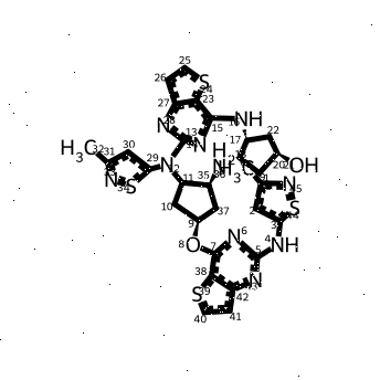 Cc1cc(Nc2nc(O[C@H]3CC(N(c4nc(N[C@H]5CC[C@H](O)C5)c5sccc5n4)c4cc(C)ns4)[C@@H](N)C3)c3sccc3n2)sn1